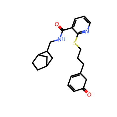 O=C1C=CC=C(CCCSc2ncccc2C(=O)NCC2CC3CCC2C3)C1